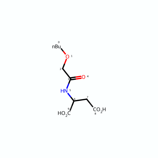 CCCCOCC(=O)NC(CC(=O)O)C(=O)O